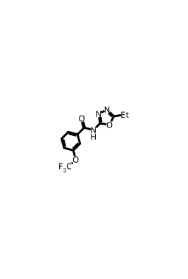 CCc1nnc(NC(=O)c2cccc(OC(F)(F)F)c2)o1